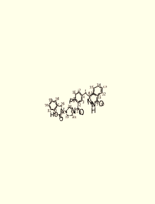 O=C(c1cc(Cc2n[nH]c(=O)c3ccccc23)ccc1F)N1CC[C@H](N(Cc2ccccc2)C(=O)O)C1